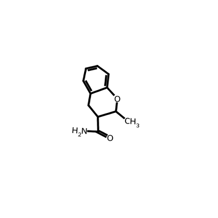 CC1Oc2ccccc2CC1C(N)=O